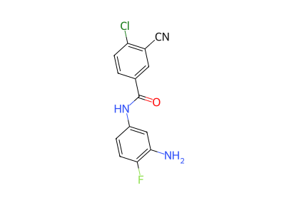 N#Cc1cc(C(=O)Nc2ccc(F)c(N)c2)ccc1Cl